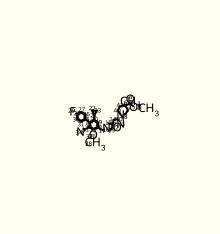 CCOC(=O)C1(C)CCN(C2=NOC3(C2)CN(Cc2cc(C4CC4)c(-c4ccc(F)cc4)c(C#N)c2OCC)C3)CC1